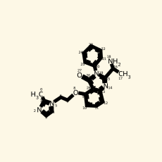 Cc1nccn1CCOc1cccc2nc(C(C)N)n(-c3ccccc3)c(=O)c12